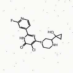 O=c1[nH]c(-c2ccnc(F)c2)nc(N2CCNC(C3(O)CC3)C2)c1Cl